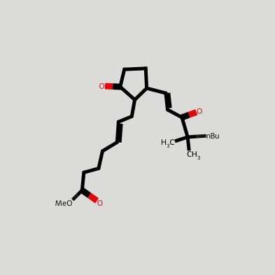 CCCCC(C)(C)C(=O)C=CC1CCC(=O)C1CC=CCCCC(=O)OC